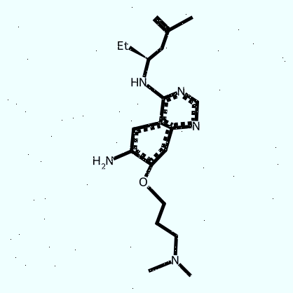 C=C(C)C[C@H](CC)Nc1ncnc2cc(OCCCN(C)C)c(N)cc12